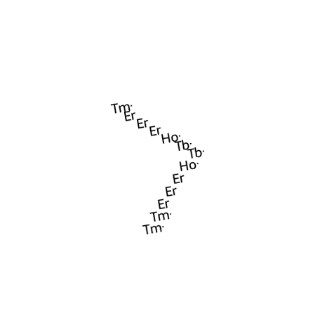 [Er].[Er].[Er].[Er].[Er].[Er].[Ho].[Ho].[Tb].[Tb].[Tm].[Tm].[Tm]